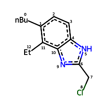 CCCCc1ccc2[nH]c(CCl)nc2c1CC